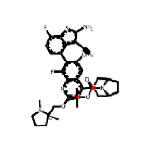 CN1CCC[C@@]1(C)COc1nc(N2CC3CCC(C2)N3C(=O)OC(C)(C)C)c2cc(Cl)c(-c3ccc(F)c4sc(N)c(C#N)c34)c(F)c2n1